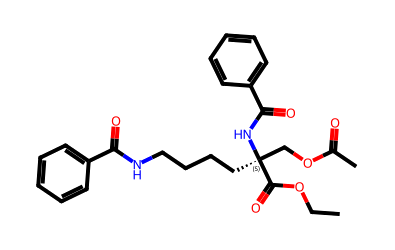 CCOC(=O)[C@](CCCCNC(=O)c1ccccc1)(COC(C)=O)NC(=O)c1ccccc1